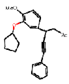 COc1ccc(C(C#Cc2ccccc2)CC(C)=O)cc1OC1CCCC1